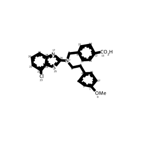 COc1ccc(CCN(Cc2ccc(C(=O)O)cc2)c2nc3cccc(Cl)c3s2)cc1